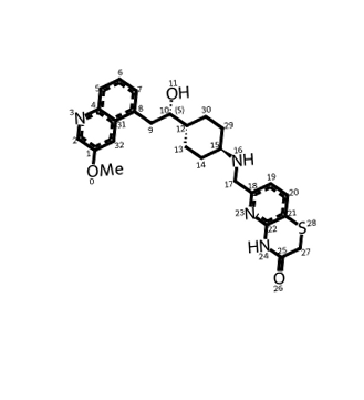 COc1cnc2cccc(C[C@H](O)[C@H]3CC[C@H](NCc4ccc5c(n4)NC(=O)CS5)CC3)c2c1